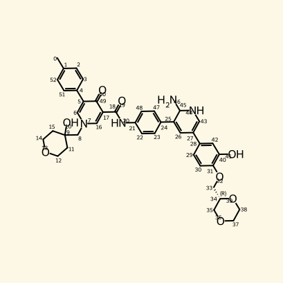 Cc1ccc(-c2cn(CC3(O)CCOCC3)cc(C(=O)Nc3ccc(C4=CC(c5ccc(OC[C@H]6COCCO6)c(O)c5)=CNC4N)cc3)c2=O)cc1